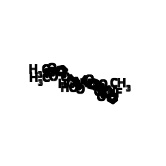 CCn1cc(S(=O)(=O)N2CCC3(CC2)C[C@@H](N(C[C@H](O)COc2cccc(S(=O)(=O)C(C)C)c2)C(=O)O)CO3)c(=O)c2cccc(F)c21